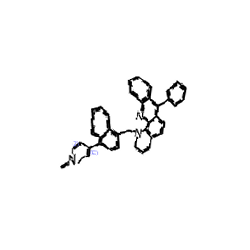 C=N/C=C\C(=C/C)c1ccc(CN2CC=Cc3ccc4c(-c5ccccc5)c5ccccc5nc4c32)c2ccccc12